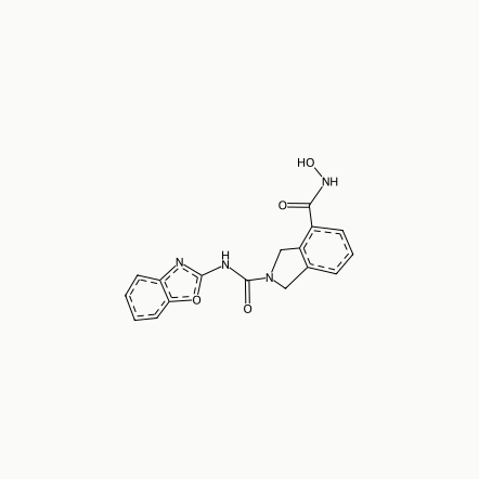 O=C(NO)c1cccc2c1CN(C(=O)Nc1nc3ccccc3o1)C2